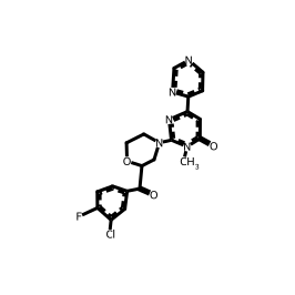 Cn1c(N2CCOC(C(=O)c3ccc(F)c(Cl)c3)C2)nc(-c2ccncn2)cc1=O